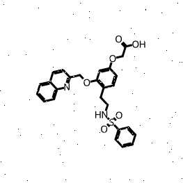 O=C(O)COc1ccc(CCNS(=O)(=O)c2ccccc2)c(OCc2ccc3ccccc3n2)c1